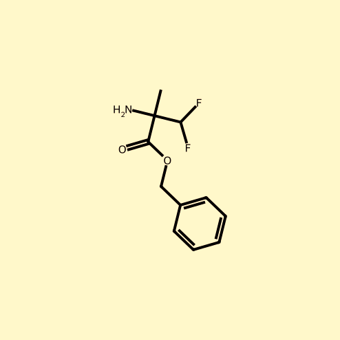 CC(N)(C(=O)OCc1ccccc1)C(F)F